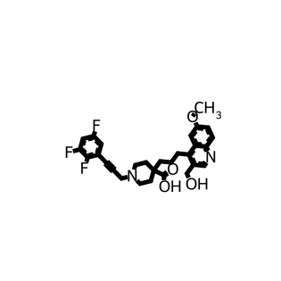 COc1ccc2ncc(CO)c(CCCC3(C(=O)O)CCN(CC#Cc4cc(F)cc(F)c4F)CC3)c2c1